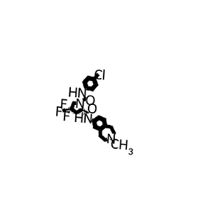 CN1CCc2ccc(NC(=O)[C@H]3C[C@@H](C(F)(F)F)CN3C(=O)Nc3ccc(Cl)cc3)cc2CC1